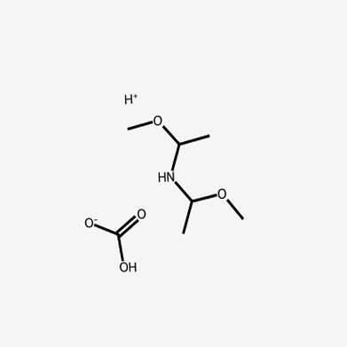 COC(C)NC(C)OC.O=C([O-])O.[H+]